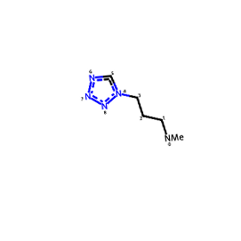 CNCCCn1cnnn1